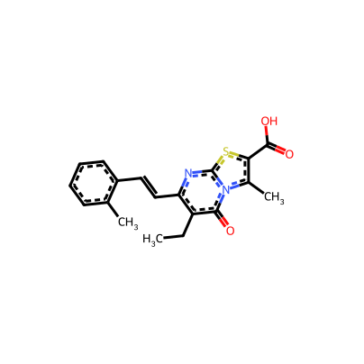 CCc1c(/C=C/c2ccccc2C)nc2sc(C(=O)O)c(C)n2c1=O